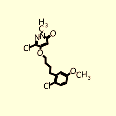 COc1ccc(Cl)c(CCCCOc2cc(=O)n(C)nc2Cl)c1